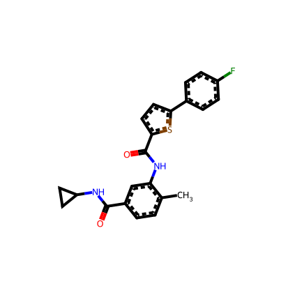 Cc1ccc(C(=O)NC2CC2)cc1NC(=O)c1ccc(-c2ccc(F)cc2)s1